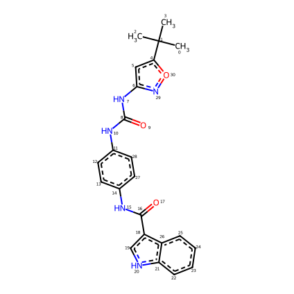 CC(C)(C)c1cc(NC(=O)Nc2ccc(NC(=O)c3c[nH]c4ccccc34)cc2)no1